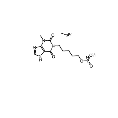 CCCC.Cn1c(=O)n(CCCCCO[PH](=O)O)c(=O)c2[nH]cnc21